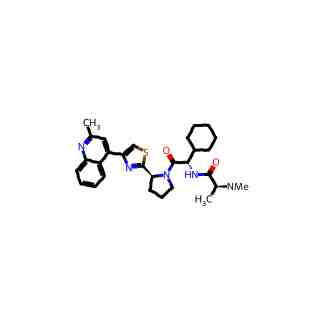 CN[C@@H](C)C(=O)N[C@H](C(=O)N1CCC[C@H]1c1nc(-c2cc(C)nc3ccccc23)cs1)C1CCCCC1